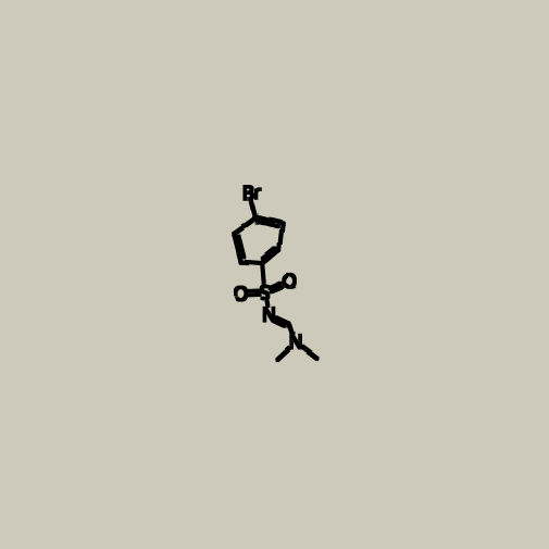 CN(C)/C=N/S(=O)(=O)c1ccc(Br)cc1